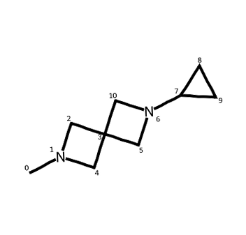 CN1CC2(C1)CN(C1CC1)C2